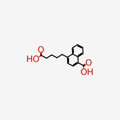 O=C(O)CCCCc1ccc(C(=O)O)c2ccccc12